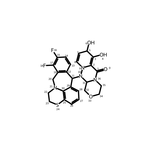 O=C1C2=C(O)C(O)C=CN2N(C2c3ccc(F)c(F)c3CN3CCSc4cccc2c43)C2COCCN12